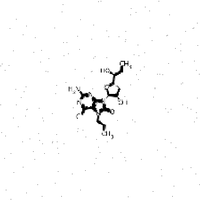 CCCn1c(=O)n([C@@H]2O[C@H]([C@@H](O)CC)C[C@H]2O)c2nc(N)nc(Cl)c21